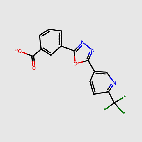 O=C(O)c1cccc(-c2nnc(-c3ccc(C(F)(F)F)nc3)o2)c1